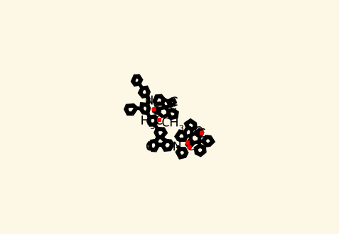 CC1(C)c2ccccc2C2(c3ccccc3-c3ccc(N(c4ccc(-c5ccccc5)cc4)c4cc(-c5ccccc5)cc(-c5ccc(-c6ccc7c(c6)c6ccccc6c6ccc(N(c8ccccc8)c8ccc9c(c8)C8(c%10ccccc%10-9)c9ccccc9C(c9ccccc9)(c9ccccc9)c9ccccc98)cc67)cc5)c4)cc32)c2ccccc21